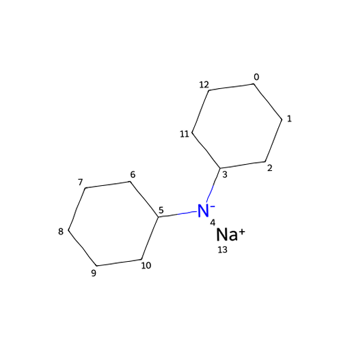 C1CCC([N-]C2CCCCC2)CC1.[Na+]